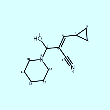 N#C/C(=C\C1CC1)C(O)N1CCCCC1